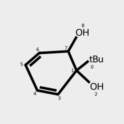 CC(C)(C)C1(O)C=CC=CC1O